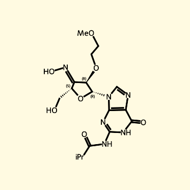 COCCO[C@@H]1C(=NO)[C@@H](CO)O[C@H]1n1cnc2c(=O)[nH]c(NC(=O)C(C)C)nc21